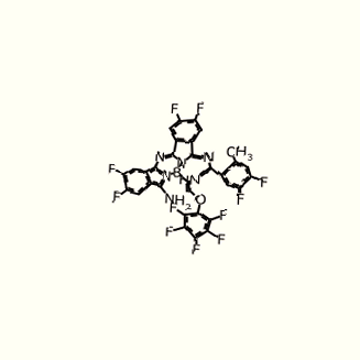 Cc1cc(F)c(F)cc1C(=N)/N=C1/c2cc(F)c(F)cc2C2=Nc3c4cc(F)c(F)cc4c(N)n3B(C=COc3c(F)c(F)c(F)c(F)c3F)N21